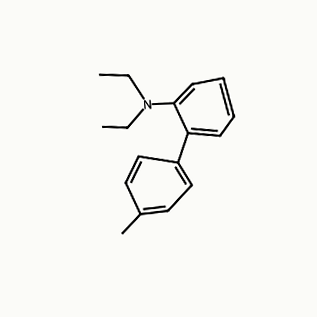 CCN(CC)c1ccccc1-c1ccc(C)cc1